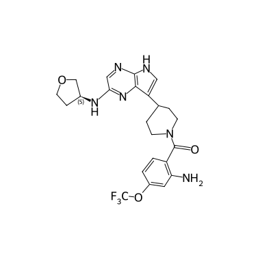 Nc1cc(OC(F)(F)F)ccc1C(=O)N1CCC(c2c[nH]c3ncc(N[C@H]4CCOC4)nc23)CC1